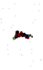 CC1CN(S(=O)(=O)c2cc3cc(Cl)ccc3n2S(=O)(=O)c2ccccc2)CC(=O)N1Cc1ccc(-c2ccc(=O)n(C)n2)cc1